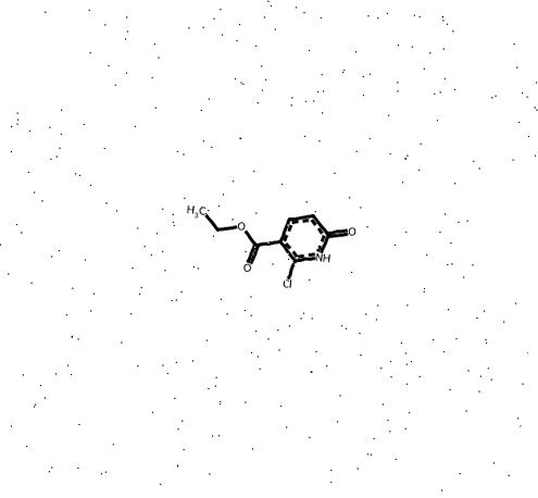 CCOC(=O)c1ccc(=O)[nH]c1Cl